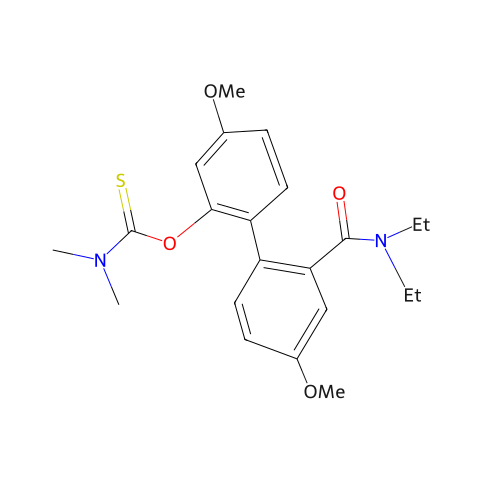 CCN(CC)C(=O)c1cc(OC)ccc1-c1ccc(OC)cc1OC(=S)N(C)C